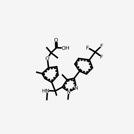 CNC(C)(c1ccc(OC(C)(C)C(=O)O)c(C)c1)c1c(C)c(-c2ccc(C(F)(F)F)cc2)nn1C